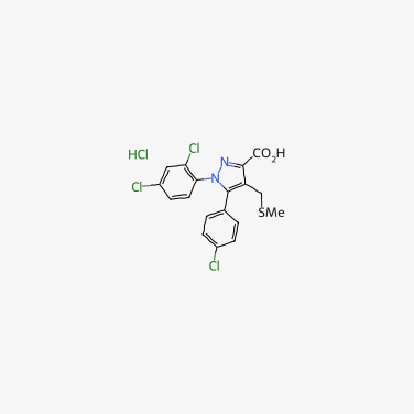 CSCc1c(C(=O)O)nn(-c2ccc(Cl)cc2Cl)c1-c1ccc(Cl)cc1.Cl